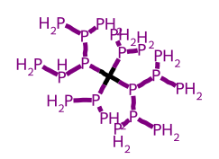 PPP(P(P)P)C(P(P)P)(P(P)P)P(P(P)P)P(P)P